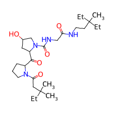 CCC(C)(C)CC(=O)N1CCCC1C(=O)C1CC(O)CN1C(=O)NCC(=O)NCCC(C)(CC)CC